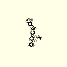 CC1(COc2c(N3CCN(S(=O)(=O)Cc4ccc5c(c4)NCCO5)CC3)cnn(-c3cc(F)cc(F)c3)c2=O)CC1